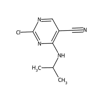 CC(C)Nc1nc(Cl)ncc1C#N